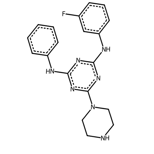 Fc1cccc(Nc2nc(Nc3ccccc3)nc(N3CCNCC3)n2)c1